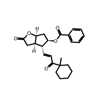 CC1(C(=O)/C=C/[C@@H]2[C@H]3CC(=O)O[C@H]3C[C@H]2OC(=O)c2ccccc2)CCCCC1